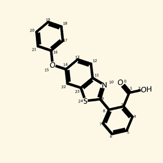 O=C(O)c1ccccc1-c1nc2ccc(Oc3ccccc3)cc2s1